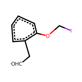 O=[C]Cc1ccccc1OCI